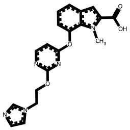 Cn1c(C(=O)O)cc2cccc(Oc3ccnc(OCCn4ccnc4)n3)c21